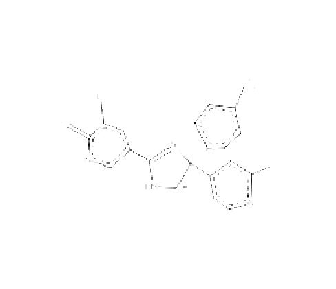 CCc1cc(C2=N[C@@](c3ccc(C(F)(F)F)cc3)(c3ccnc(F)c3)[C@H](C)N2)c[nH]c1=O